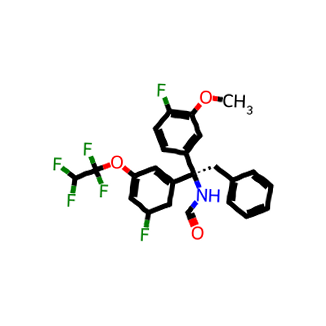 COc1cc([C@@](Cc2ccccc2)(NC=O)C2=CC(OC(F)(F)C(F)F)=CC(F)C2)ccc1F